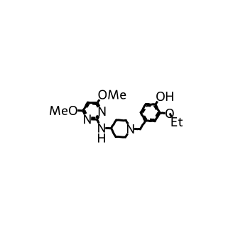 CCOc1cc(CN2CCC(Nc3nc(OC)cc(OC)n3)CC2)ccc1O